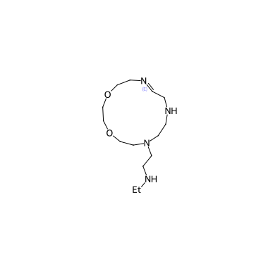 CCNCCN1CCNC/C=N/CCOCCOCC1